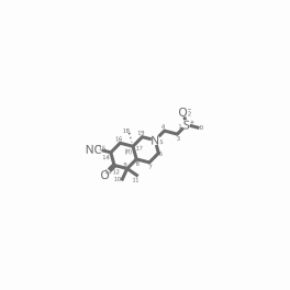 C[S+]([O-])CCN1CCC2C(C)(C)C(=O)C(C#N)C[C@@]2(C)C1